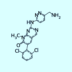 Cn1c(=O)c(-c2c(Cl)cccc2Cl)cc2cnc(Nc3ccc(CN)nn3)nc21